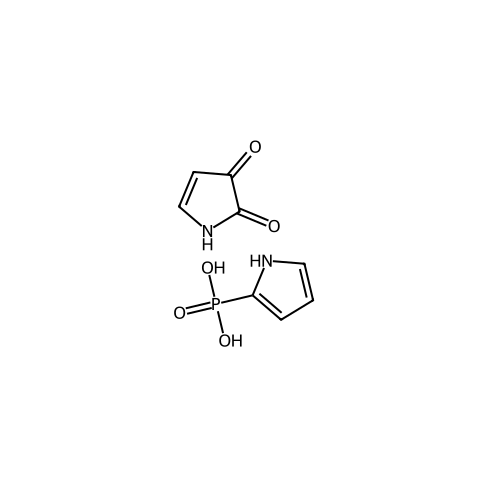 O=C1C=CNC1=O.O=P(O)(O)c1ccc[nH]1